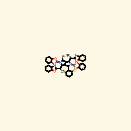 CC(C)c1c2/c(=C(\C#N)c3nc4ccccc4o3)n(B3Oc4ccccc4O3)c(-c3ccccc3Cl)c2/c(=C(\C#N)c2nc3ccccc3o2)n1B1Oc2ccccc2O1